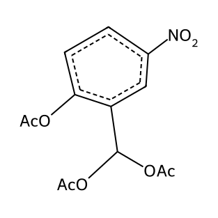 CC(=O)Oc1ccc([N+](=O)[O-])cc1C(OC(C)=O)OC(C)=O